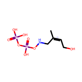 C/C(=C/CO)CNOP(=O)(O)OP(=O)(O)O